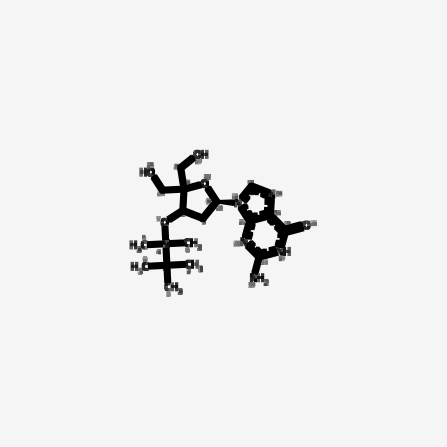 CC(C)(C)[Si](C)(C)OC1C[C@H](n2cnc3c(=O)[nH]c(N)nc32)OC1(CO)CO